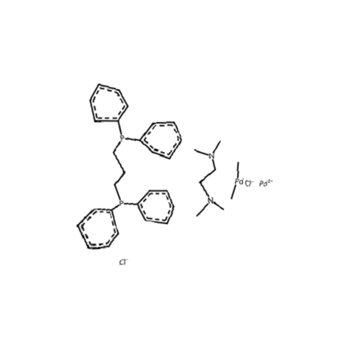 CN(C)CCN(C)C.[CH3][Pd][CH3].[Cl-].[Cl-].[Pd+2].c1ccc(P(CCCP(c2ccccc2)c2ccccc2)c2ccccc2)cc1